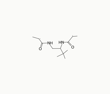 C[CH]C(=O)NCC(NC(=O)[CH]C)C(C)(C)C